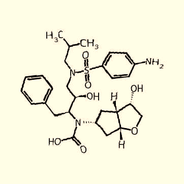 CC(C)CN(C[C@@H](O)[C@H](Cc1ccccc1)N(C(=O)O)[C@@H]1C[C@@H]2[C@H](O)CO[C@@H]2C1)S(=O)(=O)c1ccc(N)cc1